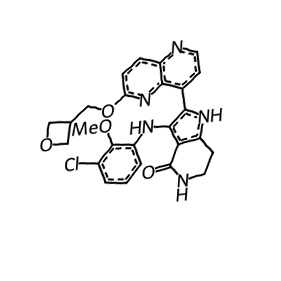 COc1c(Cl)cccc1Nc1c(-c2ccnc3ccc(OCC4COC4)nc23)[nH]c2c1C(=O)NCC2